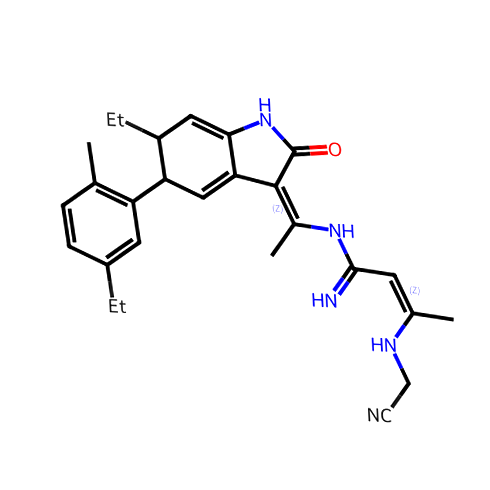 CCc1ccc(C)c(C2C=C3C(=CC2CC)NC(=O)/C3=C(/C)NC(=N)/C=C(/C)NCC#N)c1